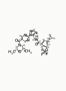 C[C@@H]1CN(C(=O)c2cnc(-n3ncnc3CNC(=O)c3cc(OC(F)(F)F)cc(C4CC4)c3)nc2)C[C@H](C)O1